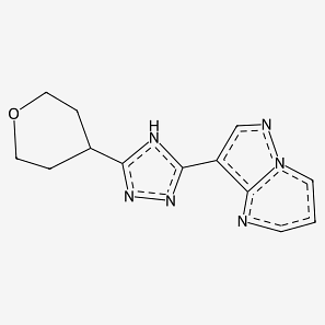 c1cnc2c(-c3nnc(C4CCOCC4)[nH]3)cnn2c1